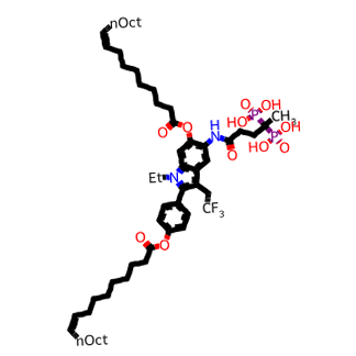 CCCCCCCC/C=C\CCCCCCCC(=O)Oc1ccc(-c2c(CC(F)(F)F)c3cc(NC(=O)CCC(C)(P(=O)(O)O)P(=O)(O)O)c(OC(=O)CCCCCCC/C=C\CCCCCCCC)cc3n2CC)cc1